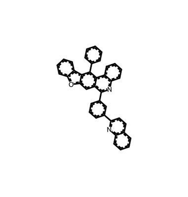 c1ccc(-c2c3c(cc4c(-c5cccc(-c6ccc7ccccc7n6)c5)nc5ccccc5c24)oc2ccccc23)cc1